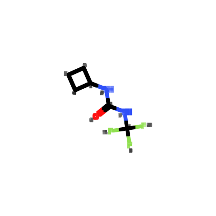 O=C(NC1CCC1)NC(F)(F)F